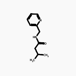 CC(C)CC(=O)NCc1ccccn1